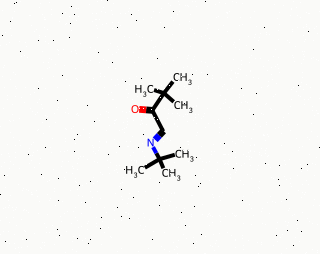 CC(C)(C)/N=C/C(=O)C(C)(C)C